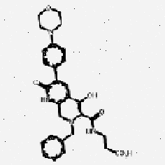 O=C(O)CCNC(=O)C1=C(O)c2cc(-c3ccc(N4CCOCC4)cc3)c(=O)[nH]c2CN1Cc1ccccc1